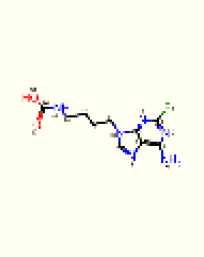 Nc1nc(F)nc2c1ncn2CCCCNC(=O)O